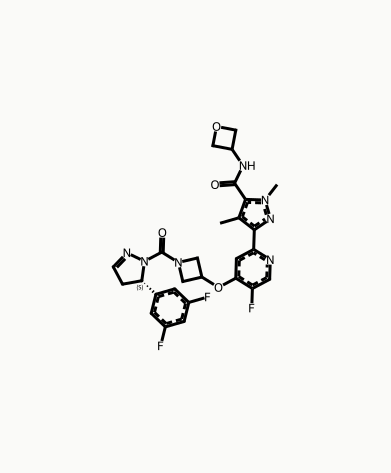 Cc1c(-c2cc(OC3CN(C(=O)N4N=CC[C@H]4c4cc(F)cc(F)c4)C3)c(F)cn2)nn(C)c1C(=O)NC1COC1